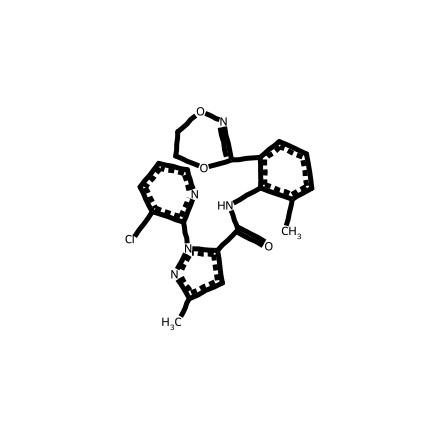 Cc1cc(C(=O)Nc2c(C)cccc2C2=NOCCO2)n(-c2ncccc2Cl)n1